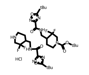 CC(C)(C)OC(=O)N1CCC(CNC(=O)c2noc(C(C)(C)C)n2)C(F)(F)C1.CC(C)(C)c1nc(C(=O)NCC2CCNCC2(F)F)no1.Cl